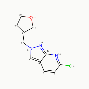 Clc1ccc2cn(CC3CCOC3)nc2n1